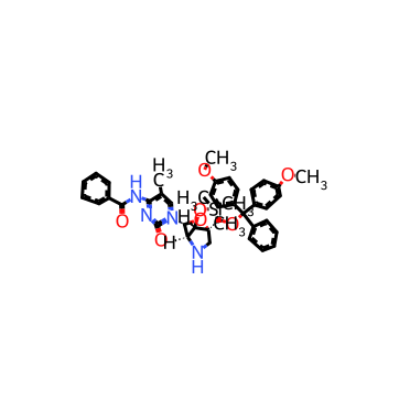 COc1ccc(C(OC[C@@]23CN[C@@H]([C@H](n4cc(C)c(NC(=O)c5ccccc5)nc4=O)O2)[C@@H]3O[Si](C)(C)C)(c2ccccc2)c2ccc(OC)cc2)cc1